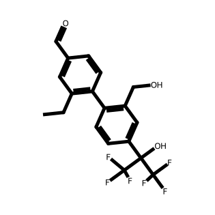 CCc1cc(C=O)ccc1-c1ccc(C(O)(C(F)(F)F)C(F)(F)F)cc1CO